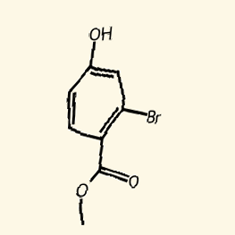 COC(=O)c1ccc(O)cc1Br